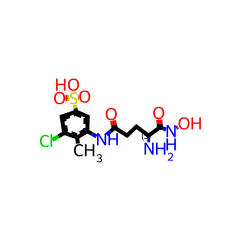 Cc1c(Cl)cc(S(=O)(=O)O)cc1NC(=O)CC[C@H](N)C(=O)NO